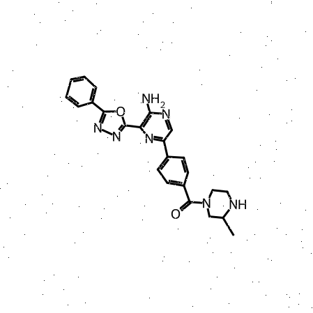 CC1CN(C(=O)c2ccc(-c3cnc(N)c(-c4nnc(-c5ccccc5)o4)n3)cc2)CCN1